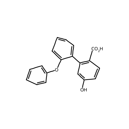 O=C(O)c1ccc(O)cc1-c1ccccc1Oc1ccccc1